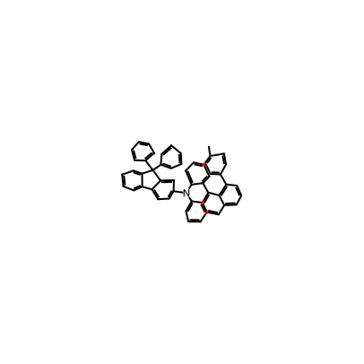 Cc1ccc(-c2cccc3cccc(-c4ccccc4N(c4ccccc4)c4ccc5c(c4)C(c4ccccc4)(c4ccccc4)c4ccccc4-5)c23)cc1